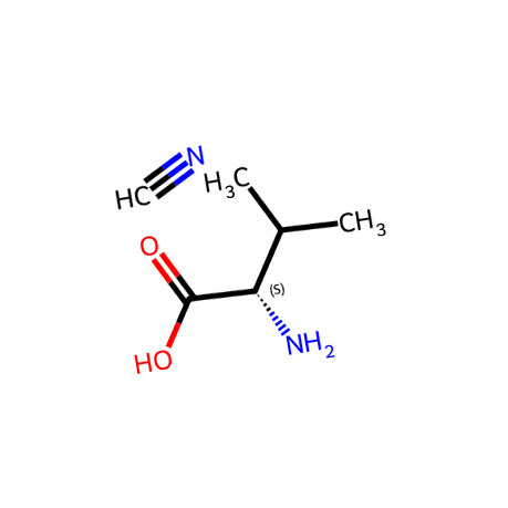 C#N.CC(C)[C@H](N)C(=O)O